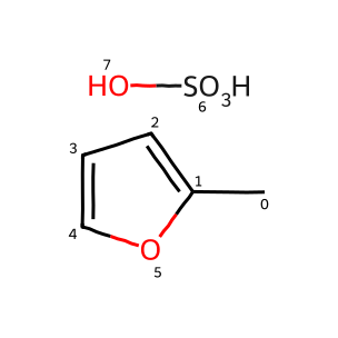 Cc1ccco1.O=S(=O)(O)O